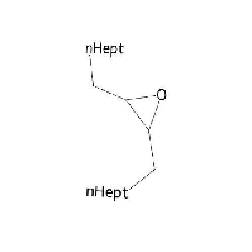 CCCCCCCCC1OC1CCCCCCCC